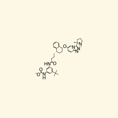 COC(=O)Nc1cc(NC(=O)CCC[C@H]2CC[C@@H](Oc3ccc4nnc([C@]5(C)CCCN5C)n4c3)c3ccccc32)cc(C(C)(C)C)c1